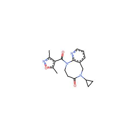 Cc1noc(C)c1C(=O)N1CCC(=O)N(C2CC2)Cc2cccnc21